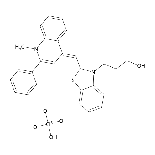 CN1C(c2ccccc2)=CC(=CC2Sc3ccccc3N2CCCO)c2ccccc21.[O-][Cl+3]([O-])([O-])O